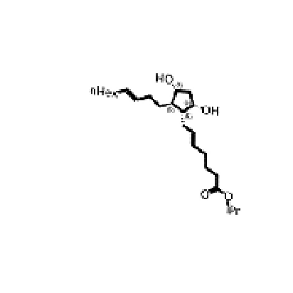 CCCCCCC=CCC[C@@H]1[C@@H](CC=CCCCC(=O)OC(C)C)[C@@H](O)C[C@H]1O